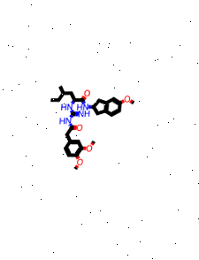 CCC(C)CC(NC(=N)NC(=O)Cc1ccc(OC)c(OC)c1)C(=O)NC1Cc2ccc(OC)cc2C1